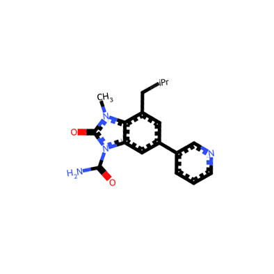 CC(C)Cc1cc(-c2cccnc2)cc2c1n(C)c(=O)n2C(N)=O